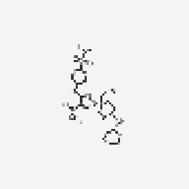 N#CCC1(n2cc(C(N)=O)c(Nc3ccc(S(=O)(=O)C(F)F)cc3)n2)CCC(NC2CCCCC2)CC1